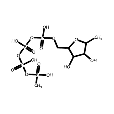 CC1OC(COP(=O)(O)OP(=O)(O)OP(=O)(O)OP(C)(=O)O)C(O)C1O